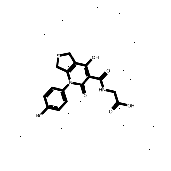 O=C(O)CNC(=O)c1c(O)c2c(n(-c3ccc(Br)cc3)c1=O)CSC2